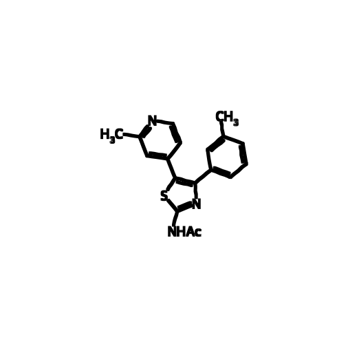 CC(=O)Nc1nc(-c2cccc(C)c2)c(-c2ccnc(C)c2)s1